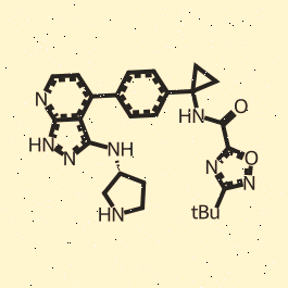 CC(C)(C)c1noc(C(=O)NC2(c3ccc(-c4ccnc5[nH]nc(N[C@@H]6CCNC6)c45)cc3)CC2)n1